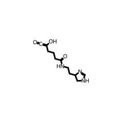 O=C=C(O)CCCC(=O)NCCC1CNC=N1